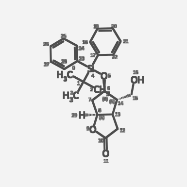 CC(C)(C)[Si](O[C@@H]1C[C@@H]2OC(=O)CC2[C@H]1CO)(c1ccccc1)c1ccccc1